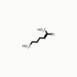 CCC(=CCCCS(=O)(=O)O)C(=O)O